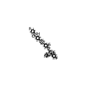 O=C(Nc1ccc(F)cn1)c1ccc(N2CCN(c3ccc(OC[C@H]4CO[C@@](Cn5cncn5)(c5ccc(F)cc5F)C4)c(F)c3)CC2)cc1